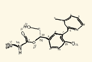 Cc1cccnc1-c1cc([C@@H](CO)OC(=O)NC(C)(C)C)ccc1Cl